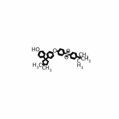 CC1(C)CCC(c2ccc(O)cc2)(c2ccc(Oc3ccc(S(=O)(=O)c4ccc(C(C)(C)C)cc4)cc3)cc2)C1